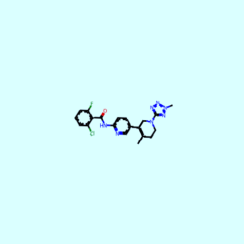 CC1=C(c2ccc(NC(=O)c3c(F)cccc3Cl)nc2)CN(c2nnn(C)n2)CC1